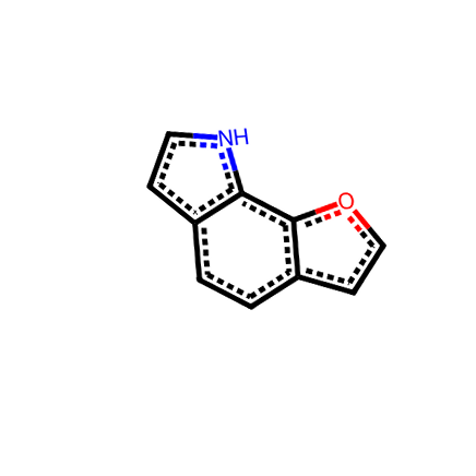 c1cc2ccc3ccoc3c2[nH]1